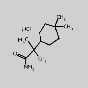 CC1(C)CCC(C(C)(C)C(N)=O)CC1.Cl